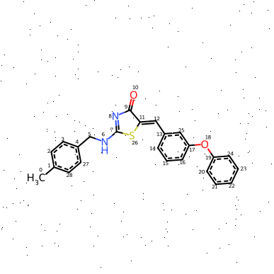 Cc1ccc(CNC2=NC(=O)C(=Cc3cccc(Oc4ccccc4)c3)S2)cc1